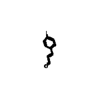 O=CC=Cc1ccc(I)cc1